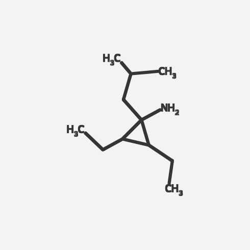 CCC1C(CC)C1(N)CC(C)C